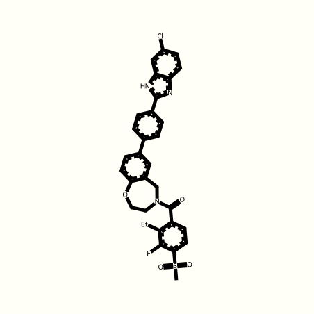 CCc1c(C(=O)N2CCOc3ccc(-c4ccc(-c5nc6ccc(Cl)cc6[nH]5)cc4)cc3C2)ccc(S(C)(=O)=O)c1F